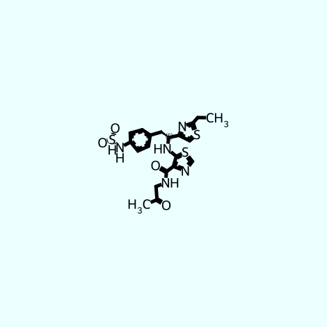 CCc1nc([C@H](Cc2ccc(N[SH](=O)=O)cc2)Nc2scnc2C(=O)NCC(C)=O)cs1